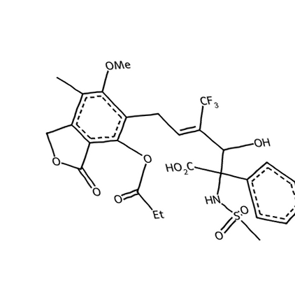 CCC(=O)Oc1c(C/C=C(/C(O)C(NS(C)(=O)=O)(C(=O)O)c2ccccc2)C(F)(F)F)c(OC)c(C)c2c1C(=O)OC2